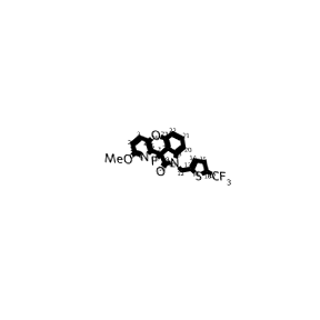 COc1ccc2c(n1)C1(F)C(=O)N(CC3=CCC(C(F)(F)F)S3)c3cccc(c31)O2